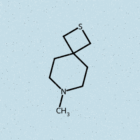 CN1CCC2(CC1)CSC2